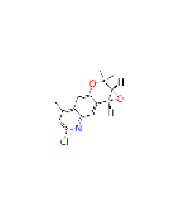 Cc1cc(Cl)nc2cc3c(cc12)OC(C)(C)[C@@H]1O[C@H]31